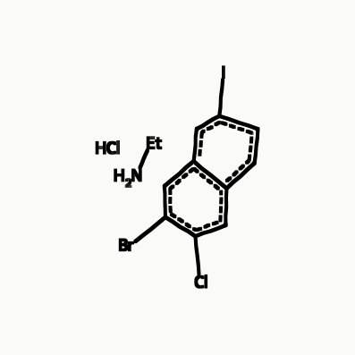 CCN.Cl.Clc1cc2ccc(I)cc2cc1Br